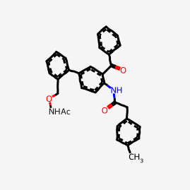 CC(=O)NOCc1ccccc1-c1ccc(NC(=O)Cc2ccc(C)cc2)c(C(=O)c2ccccc2)c1